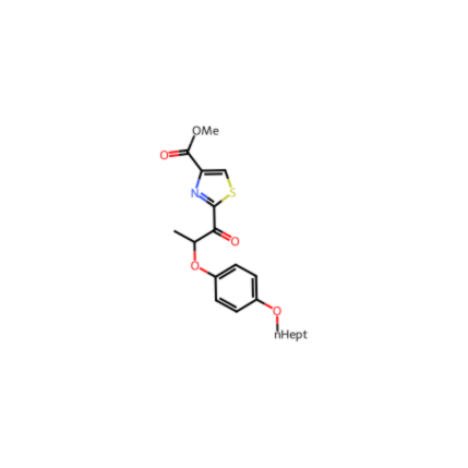 CCCCCCCOc1ccc(OC(C)C(=O)c2nc(C(=O)OC)cs2)cc1